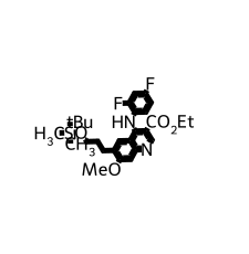 CCOC(=O)c1cnc2cc(OC)c(CCCO[Si](C)(C)C(C)(C)C)cc2c1Nc1ccc(F)cc1F